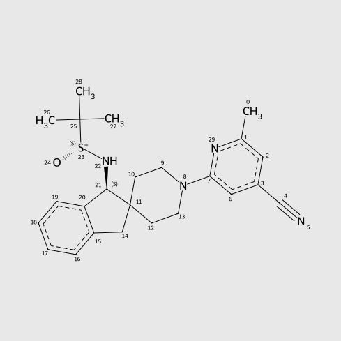 Cc1cc(C#N)cc(N2CCC3(CC2)Cc2ccccc2[C@H]3N[S@+]([O-])C(C)(C)C)n1